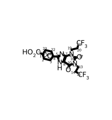 O=C(O)C12CCC(c3nc4c([nH]3)c(=O)n(CCC(F)(F)F)c(=O)n4CCC(F)(F)F)(CC1)CC2